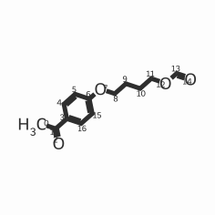 CC(=O)c1ccc(OCCCCOC=O)cc1